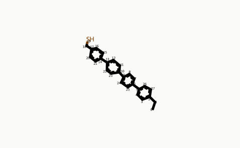 CCc1ccc(-c2ccc(-c3ccc(-c4ccc(CS)cc4)cc3)cc2)cc1